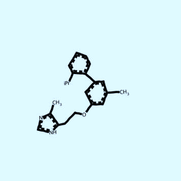 Cc1cc(OCCc2[nH]cnc2C)cc(-c2ccccc2C(C)C)c1